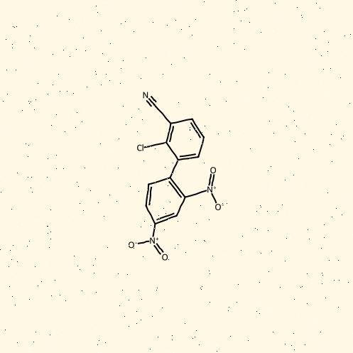 N#Cc1cccc(-c2ccc([N+](=O)[O-])cc2[N+](=O)[O-])c1Cl